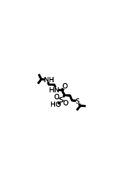 CC(C)NCCNC(=O)C(CCSC(C)C)S(=O)(=O)O